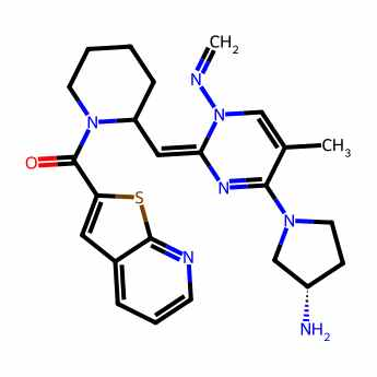 C=NN1C=C(C)C(N2CC[C@H](N)C2)=N/C1=C/C1CCCCN1C(=O)c1cc2cccnc2s1